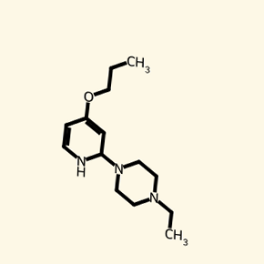 CCCOC1=CC(N2CCN(CC)CC2)NC=C1